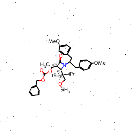 COc1ccc(CC(Cc2ccc(OC)cc2)N2C(=O)[C@H]([C@@H](C)OC(=O)OCc3ccccc3)[C@@H]2[C@@](CO[SiH3])(C(C)C)C(C)(C)C)cc1